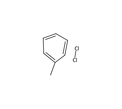 Cc1ccccc1.ClCl